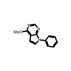 COc1ncnc2c1ccn2-c1ccccc1